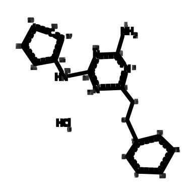 Cl.Nc1nc(CCc2ccccc2)nc(Nc2ccccc2)n1